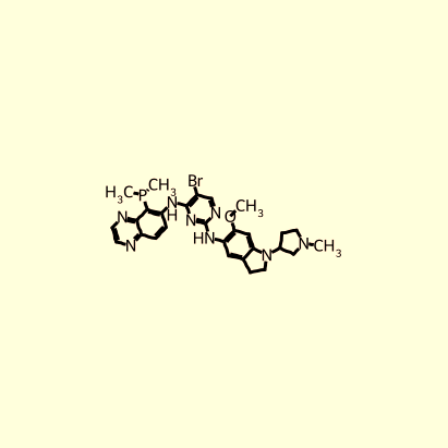 COc1cc2c(cc1Nc1ncc(Br)c(Nc3ccc4nccnc4c3P(C)C)n1)CCN2C1CCN(C)C1